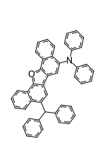 c1ccc(C(c2ccccc2)c2cc3c4cc(N(c5ccccc5)c5ccccc5)c5ccccc5c4oc3c3ccccc23)cc1